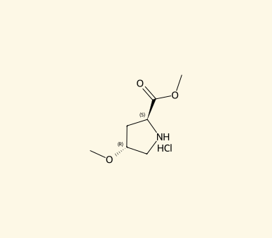 COC(=O)[C@@H]1C[C@@H](OC)CN1.Cl